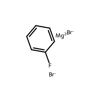 Fc1ccccc1.[Br-].[Br-].[Mg+2]